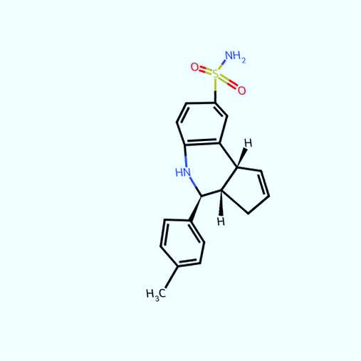 Cc1ccc([C@H]2Nc3ccc(S(N)(=O)=O)cc3[C@@H]3C=CC[C@H]23)cc1